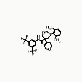 Cc1cccc(C)c1N1COCC(C(=O)Nc2cc(C(F)(F)F)cc(C(F)(F)F)c2)(C2=CCOCC2)C1